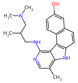 Cc1cnc(NCC(C)CN(C)C)c2c1[nH]c1ccc3cc(O)ccc3c12